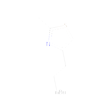 CCCCCCc1csc(C)n1